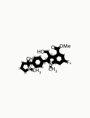 COC(=O)c1cc(F)cc2c1c(CO)c(-c1ccc(C3(C)CCCN3C)cc1)n2C